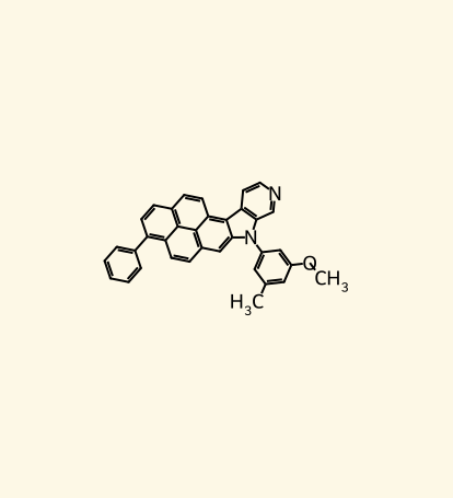 COc1cc(C)cc(-n2c3cnccc3c3c4ccc5ccc(-c6ccccc6)c6ccc(cc32)c4c56)c1